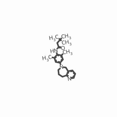 Cc1cc(N2CCCc3ncccc3C2)cc(C)c1NC(=O)CC(C)(C)C